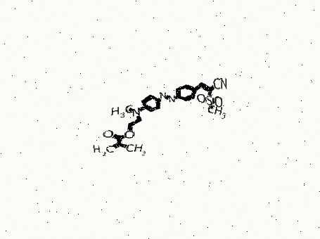 C=C(C)C(=O)OCCN(C)c1ccc(N=Nc2ccc(C=C(C#N)S(C)(=O)=O)cc2)cc1